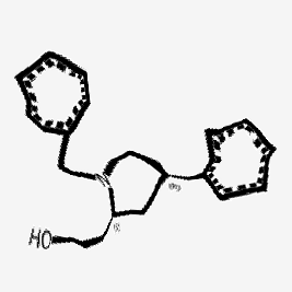 OC[C@@H]1C[C@H](c2ccccc2)CN1Cc1ccccc1